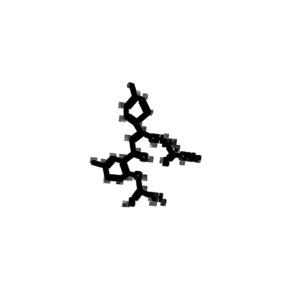 COC(N)=S.Cc1ccc(C(O)=CC(=O)c2cc(C)ccc2OC(N)=S)cc1